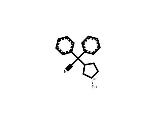 N#CC(c1ccccc1)(c1ccccc1)C1CC[C@H](O)C1